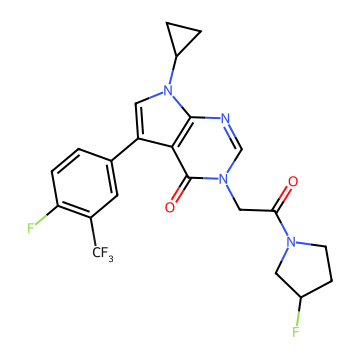 O=C(Cn1cnc2c(c(-c3ccc(F)c(C(F)(F)F)c3)cn2C2CC2)c1=O)N1CCC(F)C1